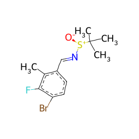 Cc1c(/C=N/[S@@+]([O-])C(C)(C)C)ccc(Br)c1F